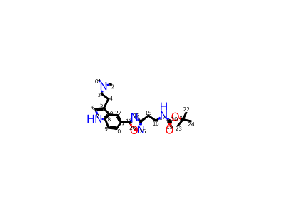 CN(C)CCc1c[nH]c2ccc(-c3nc(CCNC(=O)OC(C)(C)C)no3)cc12